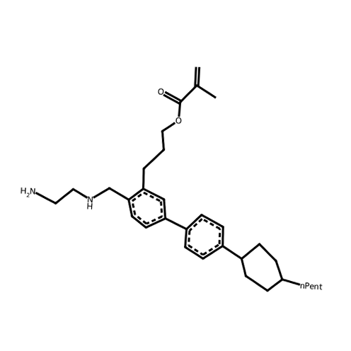 C=C(C)C(=O)OCCCc1cc(-c2ccc(C3CCC(CCCCC)CC3)cc2)ccc1CNCCN